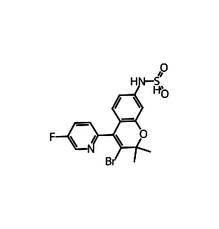 CC1(C)Oc2cc(N[SH](=O)=O)ccc2C(c2ccc(F)cn2)=C1Br